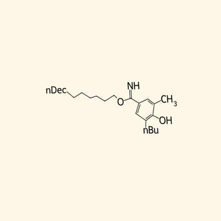 CCCCCCCCCCCCCCCCOC(=N)c1cc(C)c(O)c(CCCC)c1